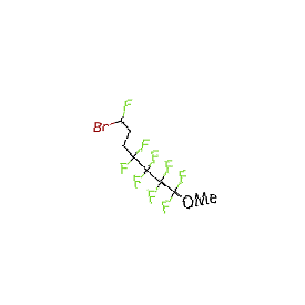 COC(F)(F)C(F)(F)C(F)(F)C(F)(F)CCC(F)Br